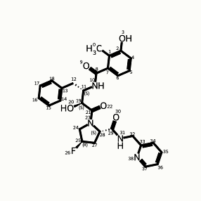 Cc1c(O)cccc1C(=O)N[C@@H](Cc1ccccc1)[C@H](O)C(=O)N1C[C@H](F)C[C@H]1C(=O)NCc1ccccn1